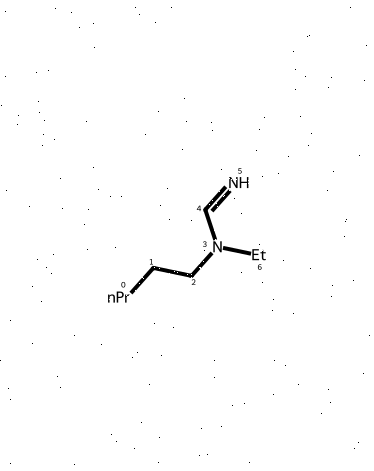 CCCCCN(C=N)CC